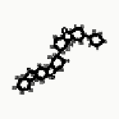 c1ccc(-c2ccc3oc4ccc(-c5ccc6sc7cc8c(cc7c6c5)sc5ccccc58)cc4c3c2)cc1